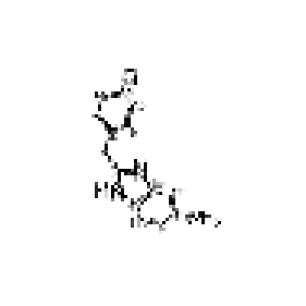 Nc1cnc2[nH]c(Cc3ccc(Cl)cc3)nc2c1